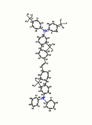 CC(C)(C)c1ccc(N(c2ccc(C(C)(C)C)cc2)c2ccc3c(c2)C(C)(C)c2cc(/C=C/c4ccc5c(c4)C(C)(C)c4cc(N(c6ccccc6)c6ccccc6)ccc4-5)ccc2-3)cc1